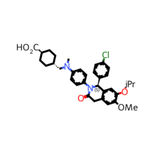 COc1cc2c(cc1OC(C)C)[C@H](c1ccc(Cl)cc1)N(c1ccc(N(C)C[C@H]3CC[C@H](C(=O)O)CC3)cc1)C(=O)C2